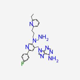 CCc1cccc(CCCN(CN)c2cnc(-c3ccc(F)cc3)cc2Cn2cnc3c(N)ncnc32)n1